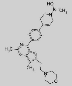 CB(O)N1CC=C(c2ccc(-c3nc(C)cc4c3cc(CCN3CCOCC3)n4C)cc2)CC1